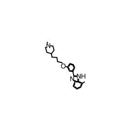 Cc1cccc2nc(-c3cccc(OCCCCC4CCN(C)CC4)c3)[nH]c12